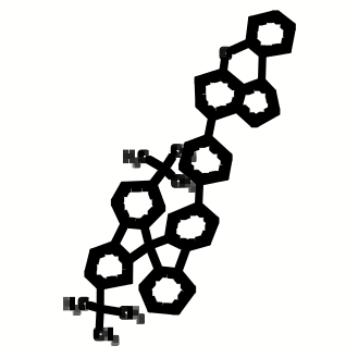 CC(C)(C)c1ccc2c(c1)C1(c3ccccc3-c3ccc(-c4ccc(-c5ccc6c7c(cccc57)-c5ccccc5O6)cc4)cc31)c1cc(C(C)(C)C)ccc1-2